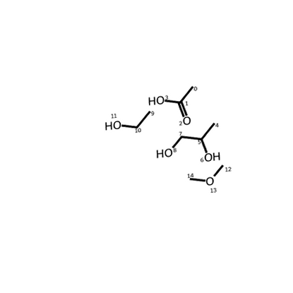 CC(=O)O.CC(O)CO.CCO.COC